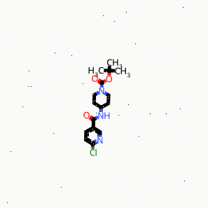 CC(C)(C)OC(=O)N1CCC(NC(=O)c2ccc(Cl)nc2)CC1